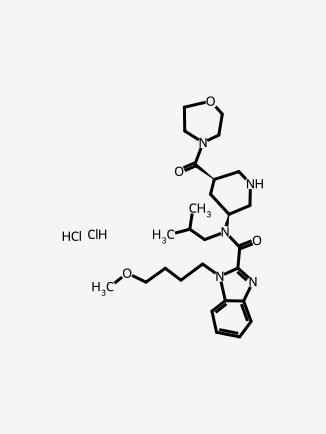 COCCCCn1c(C(=O)N(CC(C)C)[C@@H]2CNC[C@H](C(=O)N3CCOCC3)C2)nc2ccccc21.Cl.Cl